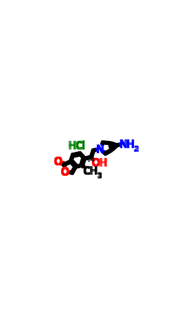 Cc1c([C@@H](O)CN2CC3C(N)C3C2)ccc2c1COC2=O.Cl